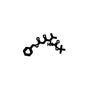 CC(C)[C@H](NC(=O)OC(C)(C)C)C(=O)CC(=O)OCc1ccccc1